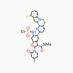 CCS(=O)(=O)Nc1cc2oc(-n3ccc(C)cc3=O)c(C(=O)NC)c2cc1-c1ccc2c(n1)-c1cc3c(F)cccc3n1CC2